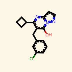 Oc1c(Cc2cccc(Cl)c2)c(C2CCC2)nc2ccnn12